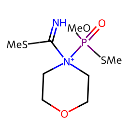 COP(=O)(SC)[N+]1(C(=N)SC)CCOCC1